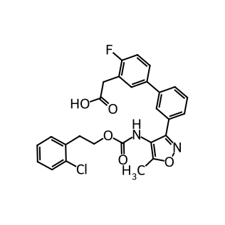 Cc1onc(-c2cccc(-c3ccc(F)c(CC(=O)O)c3)c2)c1NC(=O)OCCc1ccccc1Cl